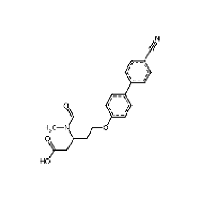 CN(C=O)C(CCOc1ccc(-c2ccc(C#N)cc2)cc1)CC(=O)O